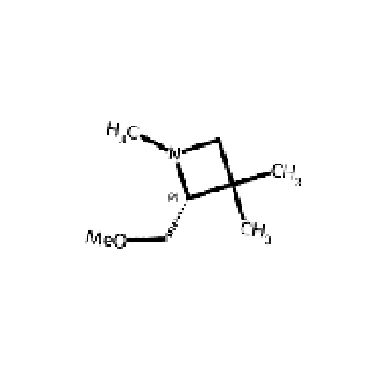 COC[C@@H]1N(C)CC1(C)C